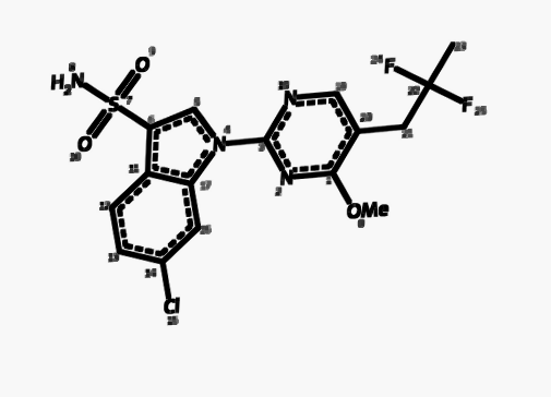 COc1nc(-n2cc(S(N)(=O)=O)c3ccc(Cl)cc32)ncc1CC(C)(F)F